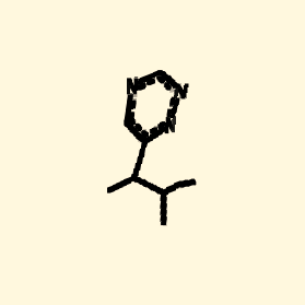 CC(C)C(C)c1cncnn1